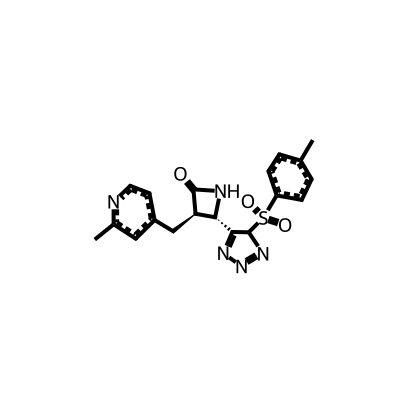 Cc1ccc(S(=O)(=O)C2N=NN=C2[C@H]2NC(=O)[C@@H]2Cc2ccnc(C)c2)cc1